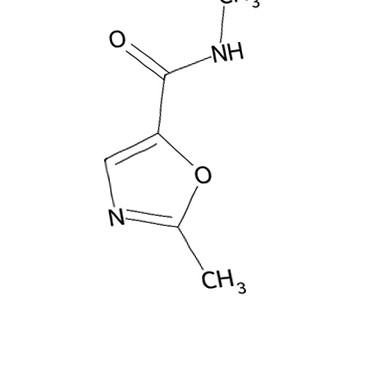 CNC(=O)c1cnc(C)o1